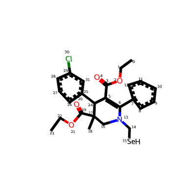 CCOC(=O)C1=C(c2ccccc2)N(C[SeH])CC(C)(C(=O)OCC)C1c1cccc(Cl)c1